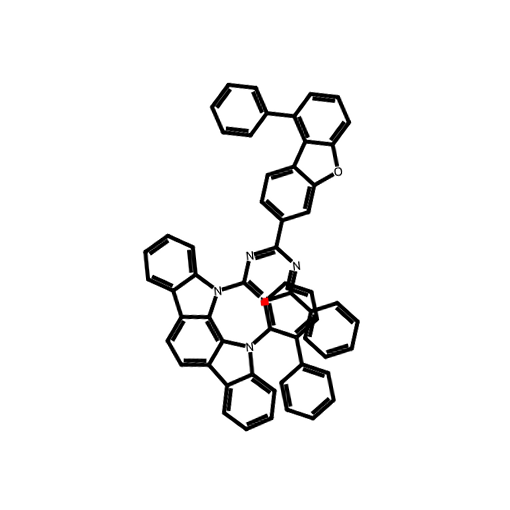 c1ccc(-c2nc(-c3ccc4c(c3)oc3cccc(-c5ccccc5)c34)nc(-n3c4ccccc4c4ccc5c6ccccc6n(-c6ccccc6-c6ccccc6)c5c43)n2)cc1